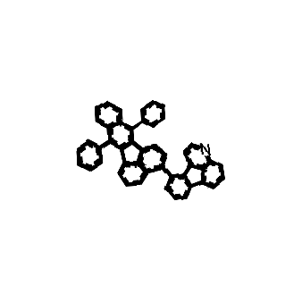 c1ccc(-c2c3c(c(-c4ccccc4)c4ccccc24)-c2ccc(-c4cccc5c4-c4ccnc6cccc-5c46)c4cccc-3c24)cc1